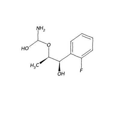 C[C@@H](OC(N)O)[C@H](O)c1ccccc1F